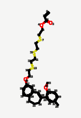 C=CC(=O)OCCSCCSCCSCCOc1ccc2c(c1)C=C(c1cc(C)ccc1OC)CCC2